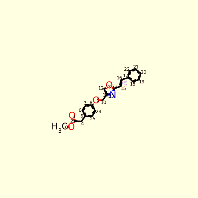 COC(=O)Cc1ccc(OCc2coc(/C=C/c3ccccc3)n2)cc1